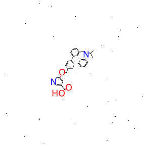 CC(C)N(Cc1cccc(-c2ccc(COc3cncc(C(=O)O)c3)cc2)c1)c1ccccc1